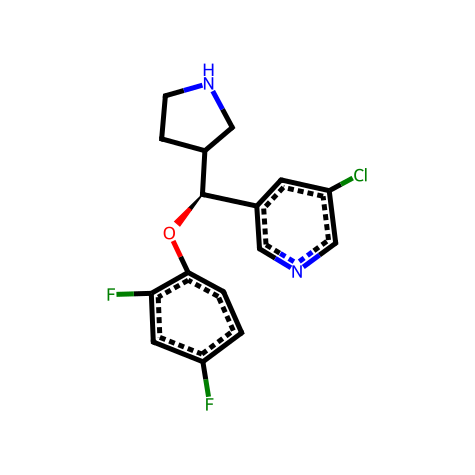 Fc1ccc(O[C@H](c2cncc(Cl)c2)C2CCNC2)c(F)c1